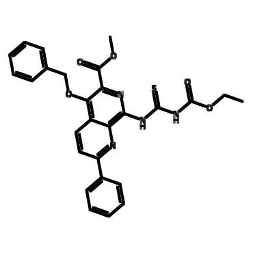 CCOC(=O)NC(=S)Nc1nc(C(=O)OC)c(OCc2ccccc2)c2ccc(-c3ccccc3)nc12